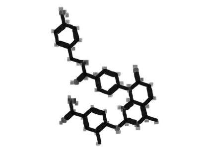 Cc1cc(C(N)=O)ccc1Oc1nc(C)c2ccc(=O)n(-c3ccc(C(=O)NCc4ccc(C(F)(F)F)cc4)cc3)c2n1